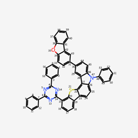 c1ccc(-c2nc(-c3ccccc3)nc(-c3cccc4c3sc3c4ccc4c3c3cc(-c5ccc6oc7ccccc7c6c5)ccc3n4-c3ccccc3)n2)cc1